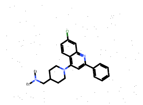 CCN(CC)CC1CCN(c2cc(-c3ccccc3)nc3cc(Cl)ccc23)CC1